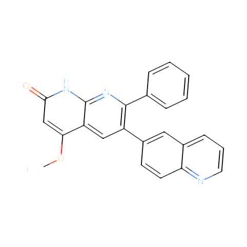 COc1cc(=O)[nH]c2nc(-c3ccccc3)c(-c3ccc4ncccc4c3)cc12